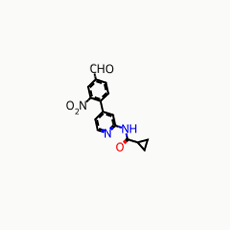 O=Cc1ccc(-c2ccnc(NC(=O)C3CC3)c2)c([N+](=O)[O-])c1